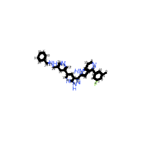 Cc1cc(F)cc(-c2nccc3[nH]c(-c4n[nH]c5ncc(-c6cncc(CNCc7ccccc7)c6)cc45)cc23)c1